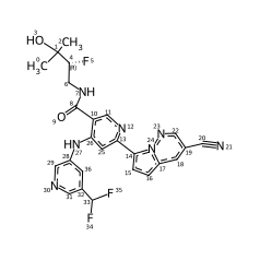 CC(C)(O)[C@H](F)CNC(=O)c1cnc(-c2ccc3cc(C#N)cnn23)cc1Nc1cncc(C(F)F)c1